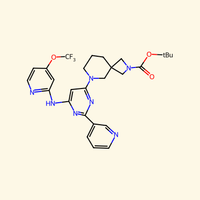 CC(C)(C)OC(=O)N1CC2(CCCN(c3cc(Nc4cc(OC(F)(F)F)ccn4)nc(-c4cccnc4)n3)C2)C1